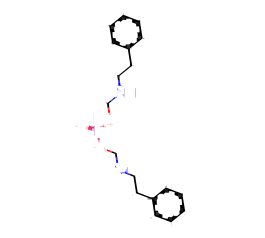 O=[PH](OCNCCc1ccccc1)OCNCCc1ccccc1